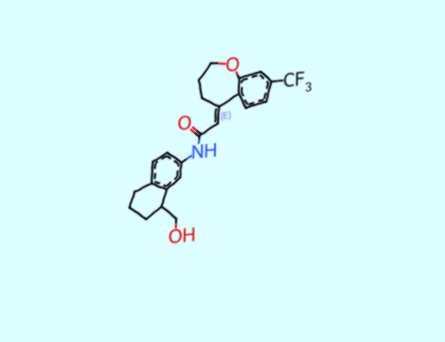 O=C(/C=C1\CCCOc2cc(C(F)(F)F)ccc21)Nc1ccc2c(c1)C(CO)CCC2